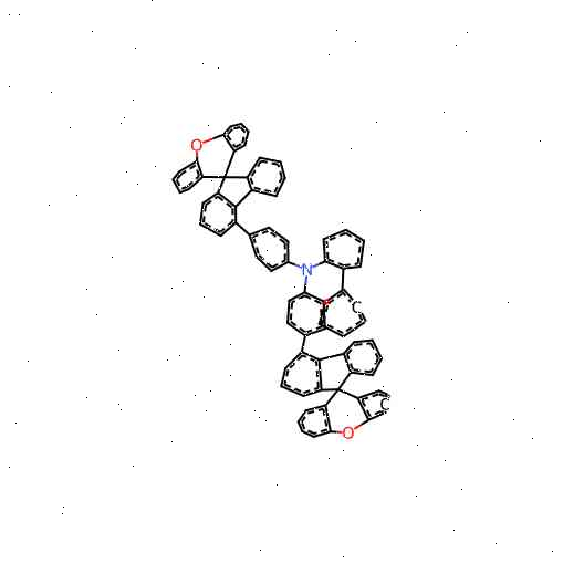 c1ccc(-c2ccccc2N(c2ccc(-c3cccc4c3-c3ccccc3C43c4ccccc4Oc4ccccc43)cc2)c2ccc(-c3cccc4c3-c3ccccc3C43c4ccccc4Oc4ccccc43)cc2)cc1